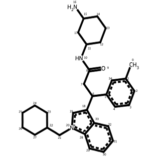 Cc1cccc(C(CC(=O)NC2CCCC(N)C2)c2cn(CC3CCCCC3)c3ccccc23)c1